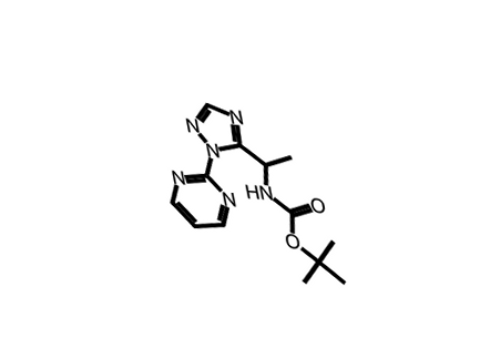 CC(NC(=O)OC(C)(C)C)c1ncnn1-c1ncccn1